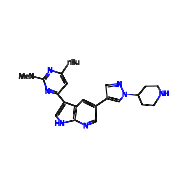 CCCCc1cc(-c2c[nH]c3ncc(-c4cnn(C5CCNCC5)c4)cc23)nc(NC)n1